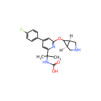 CC(C)(NC(=O)O)c1cc(-c2ccc(F)cc2)cc(OC2[C@H]3CNC[C@@H]23)n1